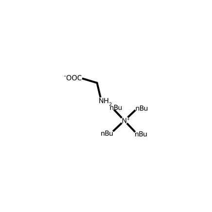 CCCC[N+](CCCC)(CCCC)CCCC.NCC(=O)[O-]